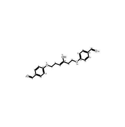 O=Cc1ccc(OCCC=C(O)CCOc2ccc(C=O)cc2)cc1